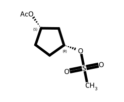 CC(=O)O[C@H]1CC[C@@H](OS(C)(=O)=O)C1